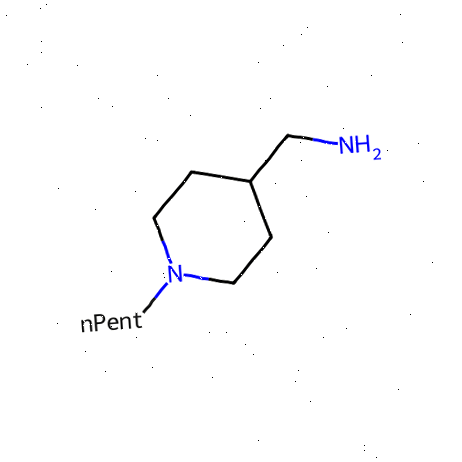 CCCCCN1CCC(CN)CC1